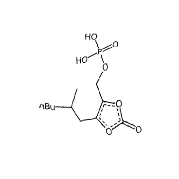 CCCCC(C)Cc1oc(=O)oc1COP(=O)(O)O